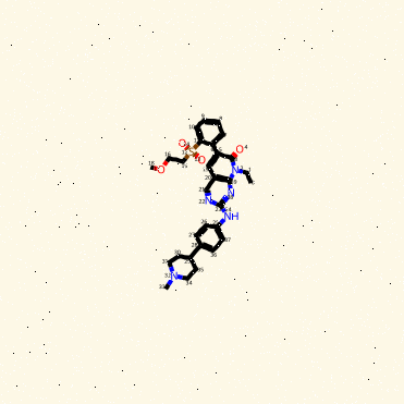 CCn1c(=O)c(-c2ccccc2S(=O)(=O)CCOC)cc2cnc(Nc3ccc(C4CCN(C)CC4)cc3)nc21